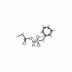 CCC(=O)ONS(=O)(=O)Cc1ccccc1